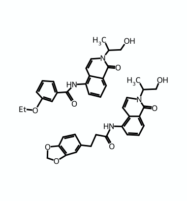 CC(CO)n1ccc2c(NC(=O)CCc3ccc4c(c3)OCO4)cccc2c1=O.CCOc1cccc(C(=O)Nc2cccc3c(=O)n(C(C)CO)ccc23)c1